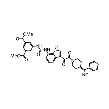 [C-]#[N+]C(=C1CCN(C(=O)C(=O)c2c[nH]c3c(NC(=O)Nc4cc(C(=O)OC)cc(C(=O)OC)c4)cccc23)CC1)c1ccccc1